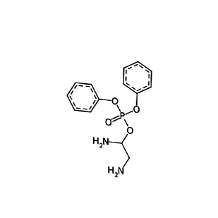 NCC(N)OP(=O)(Oc1ccccc1)Oc1ccccc1